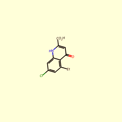 CCc1cc(Cl)cc2[nH]c(C(=O)O)cc(=O)c12